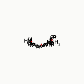 Nc1ncnc2c1c(-c1ccc(Oc3ccccc3)cc1)nn2C1CCN(CCN2CCC(CN3CCC(c4ccc5c(c4)oc(=O)n5C4CCC(=O)NC4=O)CC3)CC2)CC1